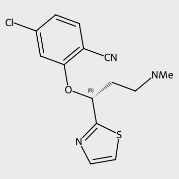 CNCC[C@@H](Oc1cc(Cl)ccc1C#N)c1nccs1